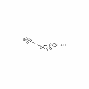 CCC(C)(C)C(=O)OCCCCCCOc1ccc(C(=O)Oc2ccc(C(=O)O)cc2)c(F)c1